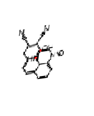 N#CC1=C(C#N)C(O)=C2C(=CC=C3C=CC=C4[N+](=O)C=CNC342)C1